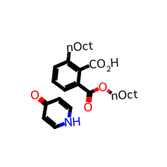 CCCCCCCCOC(=O)c1cccc(CCCCCCCC)c1C(=O)O.O=c1cc[nH]cc1